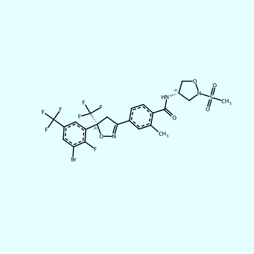 Cc1cc(C2=NO[C@](c3cc(C(F)(F)F)cc(Br)c3F)(C(F)(F)F)C2)ccc1C(=O)N[C@@H]1CON(S(C)(=O)=O)C1